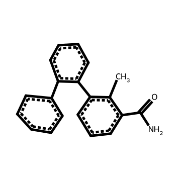 Cc1c(C(N)=O)cccc1-c1ccccc1-c1ccccc1